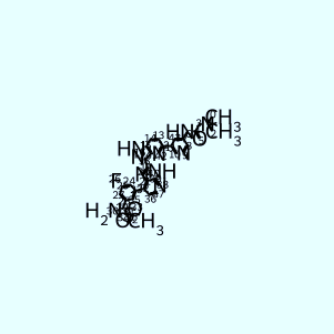 CN(C)CC(=O)Nc1cncc(-c2ccc3[nH]nc(-c4nc5c(-c6cc(F)cc(C(N)S(C)(=O)=O)c6)ccnc5[nH]4)c3n2)c1